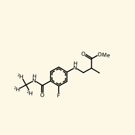 [2H]C([2H])([2H])NC(=O)c1ccc(NCC(C)C(=O)OC)cc1F